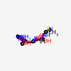 Cc1ncsc1-c1ccc(CNC(=O)[C@@H]2C[C@@H](O)CN2C(=O)C(c2cc(N3CCC(CCCN4CCC(c5cnc(N6C7CCC6CN(c6cc(-c8ccccc8O)nnc6N)C7)nc5)CC4)CC3)no2)C(C)C)cc1